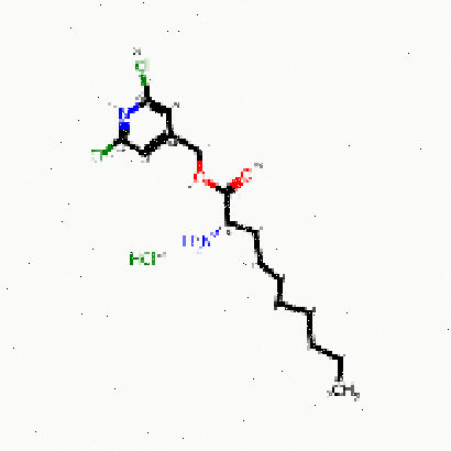 CCCCCCCC[C@H](N)C(=O)OCc1cc(Cl)nc(Cl)c1.Cl